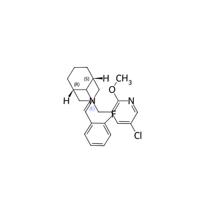 COc1ncc(Cl)cc1CN1C[C@H]2CCC[C@@H](C1)C2/C=C/c1ccccc1F